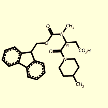 CC1CCN(C(=O)[C@H](CC(=O)O)N(C)C(=O)OCC2c3ccccc3-c3ccccc32)CC1